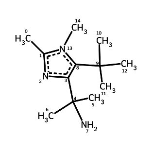 Cc1nc(C(C)(C)N)c(C(C)(C)C)n1C